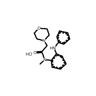 CN(C(=O)CN1CCOCC1)c1ccccc1Nc1ccccc1.Cl